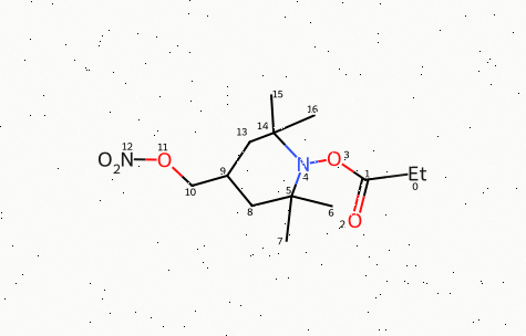 CCC(=O)ON1C(C)(C)CC(CO[N+](=O)[O-])CC1(C)C